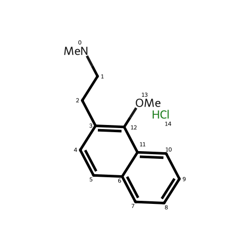 CNCCc1ccc2ccccc2c1OC.Cl